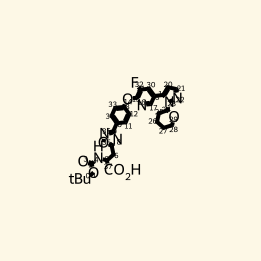 CC(C)(C)OC(=O)NC(Cc1nc(-c2ccc(Oc3ncc(-c4ccnn4C4CCCCO4)cc3F)cc2)no1)C(=O)O